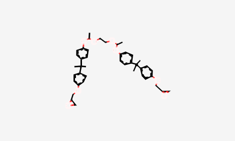 CC(OCCOC(C)Oc1ccc(C(C)(C)c2ccc(OCC3CO3)cc2)cc1)Oc1ccc(C(C)(C)c2ccc(OCC3CO3)cc2)cc1